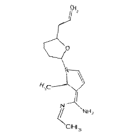 C=CCC1CCC(N2C=C/C(=C(N)/N=C\C)C2C)O1